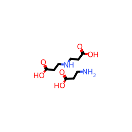 NCCC(=O)O.O=C(O)CCNCCC(=O)O